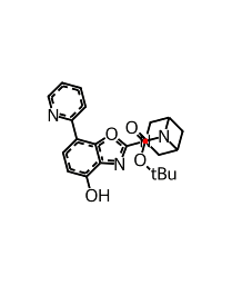 CC(C)(C)OC(=O)N1C2CC1CN(c1nc3c(O)ccc(-c4ccccn4)c3o1)C2